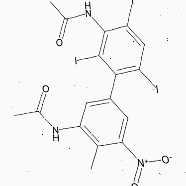 CC(=O)Nc1cc(-c2c(I)cc(I)c(NC(C)=O)c2I)cc([N+](=O)[O-])c1C